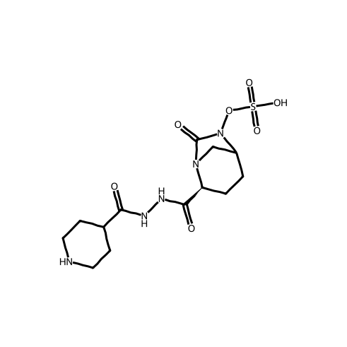 O=C(NNC(=O)[C@@H]1CCC2CN1C(=O)N2OS(=O)(=O)O)C1CCNCC1